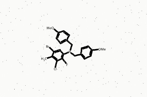 COc1ccc(CN(Cc2ccc(OC)cc2)c2cc(Br)c(C)c(Cl)c2F)cc1